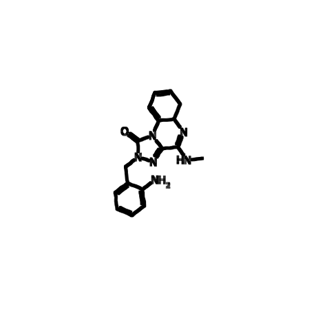 CNC1=NC2CC=CC=C2n2c1nn(Cc1ccccc1N)c2=O